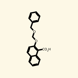 O=C(O)c1c(OCOCc2ccccc2)ccc2ccccc12